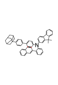 CC1(C)c2ccccc2-c2ccc(N(c3ccc(-c4ccc(C56CC7CC(CC(C7)C5)C6)cc4)cc3)c3ccccc3-c3ccc4ccccc4c3)cc21